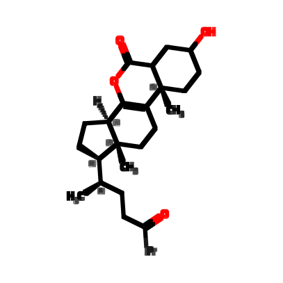 CC(C)C(=O)CC[C@@H](C)[C@H]1CC[C@H]2C3=C(CC[C@]12C)[C@@]1(C)CCC(O)CC1C(=O)O3